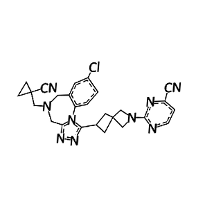 N#Cc1ccnc(N2CC3(CC(c4nnc5n4-c4ccc(Cl)cc4CN(CC4(C#N)CC4)C5)C3)C2)n1